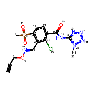 C#CCON=Cc1c(S(C)(=O)=O)ccc(C(=O)Nc2nnnn2CC)c1Cl